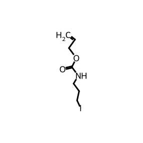 C=CCOC(=O)NCCCI